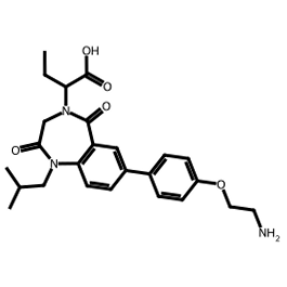 CCC(C(=O)O)N1CC(=O)N(CC(C)C)c2ccc(-c3ccc(OCCN)cc3)cc2C1=O